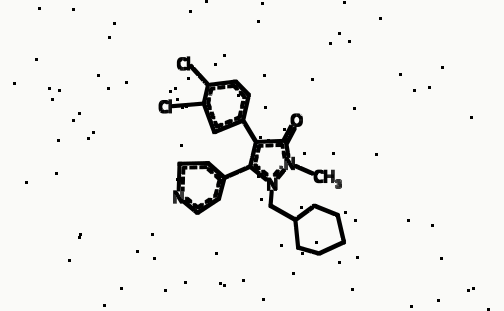 Cn1c(=O)c(-c2ccc(Cl)c(Cl)c2)c(-c2ccncc2)n1CC1CCCCC1